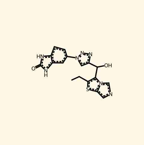 CCc1sc2cncn2c1C(O)c1cn(-c2ccc3[nH]c(=O)[nH]c3c2)nn1